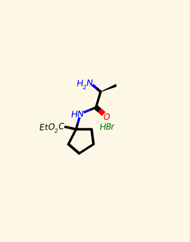 Br.CCOC(=O)C1(NC(=O)[C@H](C)N)CCCC1